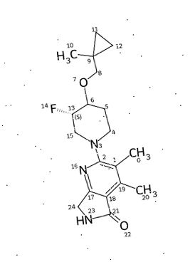 Cc1c(N2CCC(OCC3(C)CC3)[C@@H](F)C2)nc2c(c1C)C(=O)NC2